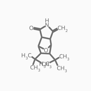 C=C1NC(=O)C2C3OC(C12)C(C(C)(C)C)C3C(C)(C)C